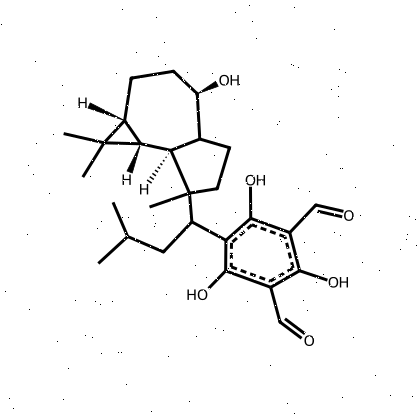 CC(C)CC(c1c(O)c(C=O)c(O)c(C=O)c1O)C1(C)CCC2[C@H](O)CC[C@@H]3[C@H]([C@@H]21)C3(C)C